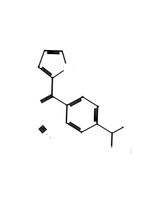 C#N.CC(C(=O)O)c1ccc(C(=O)c2cccs2)cc1